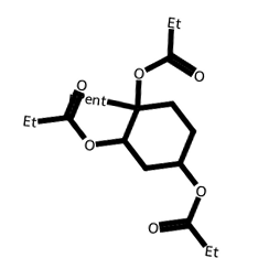 CCCCCC1(OC(=O)CC)CCC(OC(=O)CC)CC1OC(=O)CC